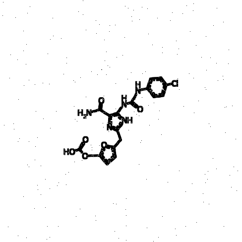 NC(=O)c1nc(Cc2ccc(OC(=O)O)o2)[nH]c1NC(=O)Nc1ccc(Cl)cc1